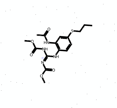 CCCSc1ccc(N/C(=N\C(=O)OC)NC(=O)OC)c(NC(C)=O)c1